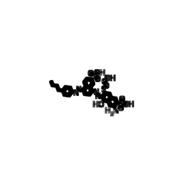 CCCCc1ccc(N=Nc2ccc(N=Nc3c(SOOO)cc4cc(S(=O)(=O)O)c(N)cc4c3O)c3cc(S(=O)(=O)O)ccc23)cc1